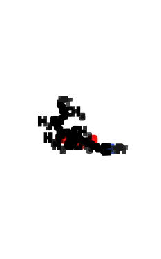 CCCN1CCC(CCCC(=O)CCC(=O)Cc2c(C)c(C)c3c(c2C)CCC(C)(CCCC(C)CCCC(C)CCCC(C)C)O3)CC1